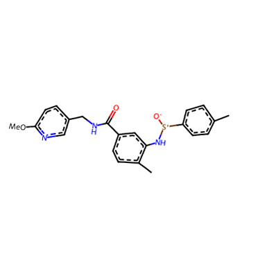 COc1ccc(CNC(=O)c2ccc(C)c(N[S+]([O-])c3ccc(C)cc3)c2)cn1